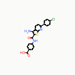 Nc1c(C(=O)Nc2ccc(C(=O)O)cc2)sc2nc(-c3ccc(Cl)cc3)ccc12